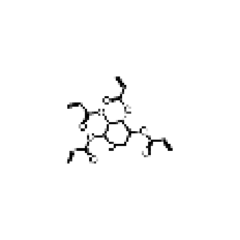 C=CC(=O)OC1COC(OC(=O)C=C)[C@@H](OC(=O)C=C)[C@@H]1OC(=O)C=C